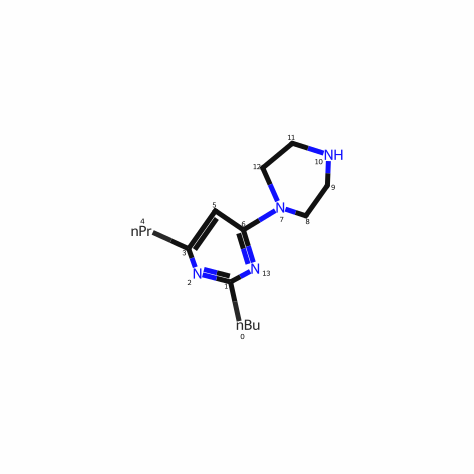 CCCCc1nc(CCC)cc(N2CCNCC2)n1